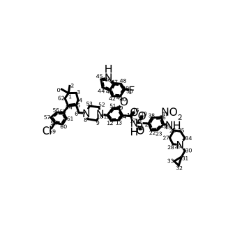 CC1(C)CCC(CN2CCN(c3ccc(C(=O)NS(=O)(=O)c4ccc(NC5CCN(CC6CC6)CC5)c([N+](=O)[O-])c4)c(Oc4cc5cc[nH]c5cc4F)c3)CC2)=C(c2ccc(Cl)cc2)C1